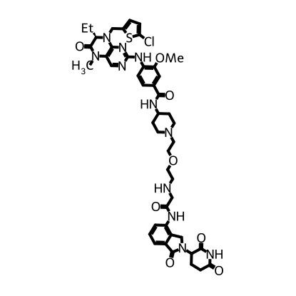 CC[C@@H]1C(=O)N(C)c2cnc(Nc3ccc(C(=O)NC4CCN(CCOCCNCC(=O)Nc5cccc6c5CN(C5CCC(=O)NC5=O)C6=O)CC4)cc3OC)nc2N1Cc1ccc(Cl)s1